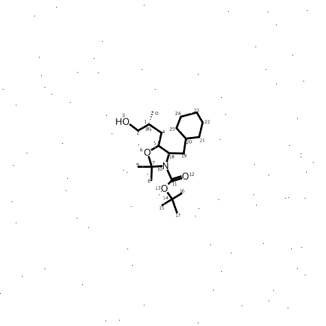 C[C@@H](CO)CC1OC(C)(C)N(C(=O)OC(C)(C)C)C1CC1CCCCC1